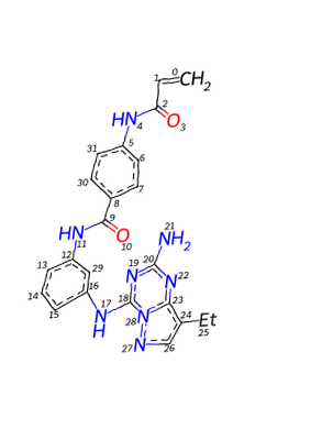 C=CC(=O)Nc1ccc(C(=O)Nc2cccc(Nc3nc(N)nc4c(CC)cnn34)c2)cc1